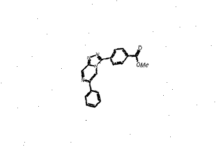 COC(=O)c1ccc(-c2nnc3cnc(-c4ccccc4)cn23)cc1